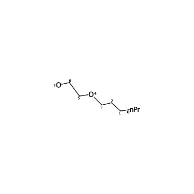 CCCCCCOCC[O]